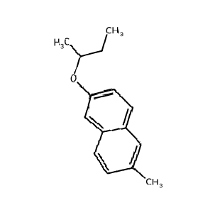 CCC(C)Oc1ccc2cc(C)ccc2c1